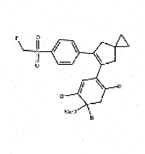 COC1(Br)CC(Br)=C(C2=C(c3ccc(S(=O)(=O)CF)cc3)CC3(CC3)C2)C=C1Br